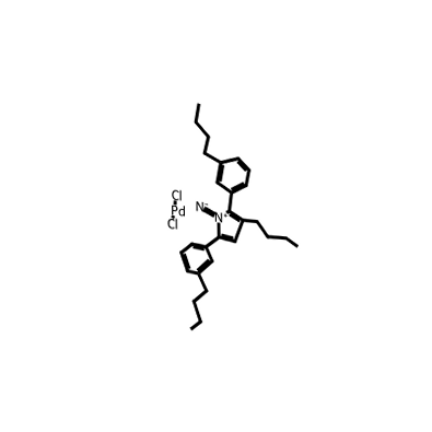 CCCCC1=C(c2cccc(CCCC)c2)[N+](=[N-])C(c2cccc(CCCC)c2)=C1.[Cl][Pd][Cl]